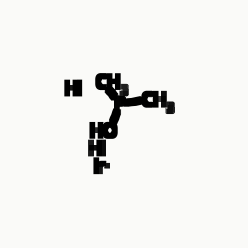 CP(C)O.I.I.[Ir]